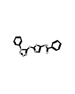 O=C(Nc1cnc(Sc2nnnn2-c2ccccc2)s1)c1ccccc1